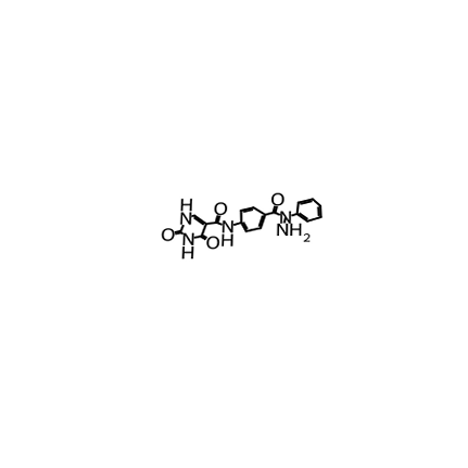 NN(C(=O)c1ccc(NC(=O)c2c[nH]c(=O)[nH]c2=O)cc1)c1ccccc1